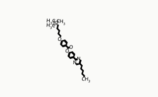 CCCCCCc1cnc(-c2ccc(OC(=O)c3ccc(OCCCCC[Si](C)(C)C)cc3)cc2)nc1